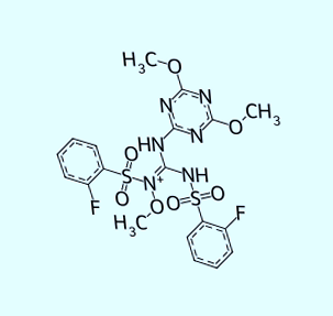 COc1nc(NC(NS(=O)(=O)c2ccccc2F)=[N+](OC)S(=O)(=O)c2ccccc2F)nc(OC)n1